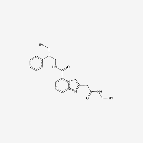 CC(C)CNC(=O)Cc1cn2c(C(=O)NCC(CC(C)C)c3ccccc3)cccc2n1